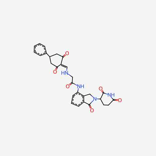 O=C1CCC(N2Cc3c(NC(=O)CNC=C4C(=O)CC(c5ccccc5)CC4=O)cccc3C2=O)C(=O)N1